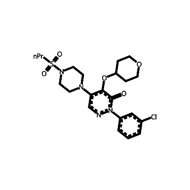 CCCS(=O)(=O)N1CCN(c2cnn(-c3cccc(Cl)c3)c(=O)c2OC2CCOCC2)CC1